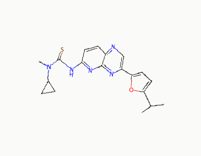 CC(C)c1ccc(-c2cnc3ccc(NC(=S)N(C)C4CC4)nc3n2)o1